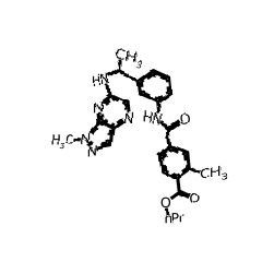 CCCOC(=O)c1ccc(C(=O)Nc2cccc([C@H](C)Nc3cnc4cnn(C)c4n3)c2)cc1C